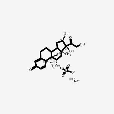 C[C@@H]1CC2C3CCC4=CC(=O)C=C[C@]4(C)[C@@]3(F)[C@@H](O)C[C@]2(C)[C@@]1(O)C(=O)CO.O=S(=O)([O-])[O-].[Na+].[Na+]